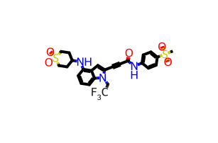 CS(=O)(=O)c1ccc(NC(=O)C#Cc2cc3c(NC4CCS(=O)(=O)CC4)cccc3n2CC(F)(F)F)cc1